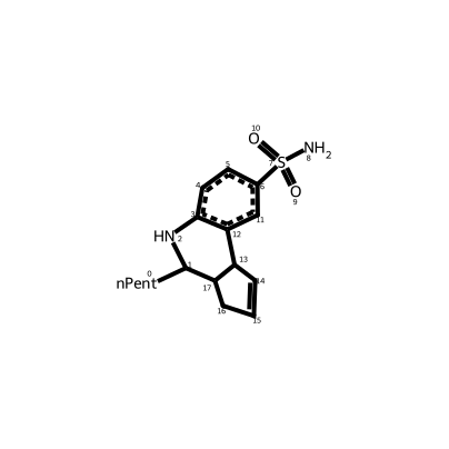 CCCCCC1Nc2ccc(S(N)(=O)=O)cc2C2C=CCC12